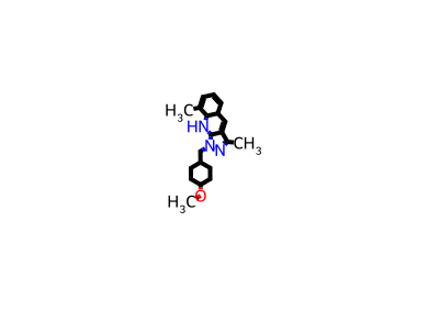 COC1CCC(CN2N=C(C)C3=CC4C=CC=C(C)C4NC32)CC1